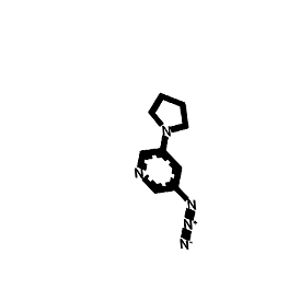 [N-]=[N+]=Nc1cncc(N2CCCC2)c1